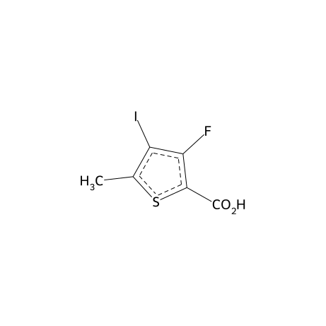 Cc1sc(C(=O)O)c(F)c1I